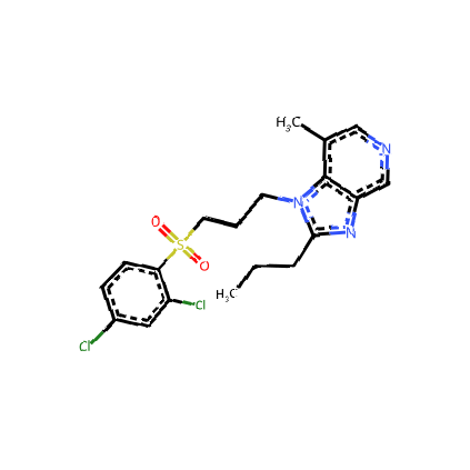 CCCc1nc2cncc(C)c2n1CCCS(=O)(=O)c1ccc(Cl)cc1Cl